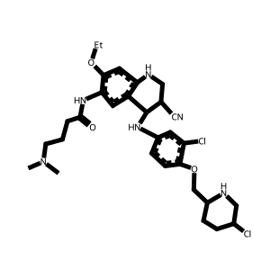 CCOc1cc2c(cc1NC(=O)CCCN(C)C)C(Nc1ccc(OCC3CCC(Cl)CN3)c(Cl)c1)C(C#N)CN2